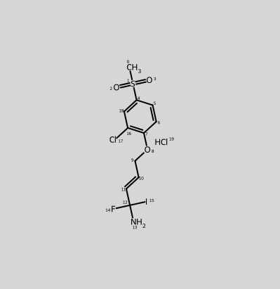 CS(=O)(=O)c1ccc(OCC=CC(N)(F)I)c(Cl)c1.Cl